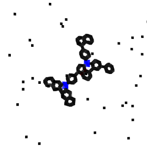 c1ccc(-c2ccc(N(c3ccc(-c4ccc(-n5c6cc7ccccc7cc6c6cc7ccccc7cc65)cc4)cc3)c3ccc(-c4cccc5ccccc45)cc3)c(-c3ccccc3)c2)cc1